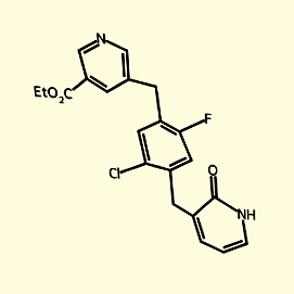 CCOC(=O)c1cncc(Cc2cc(Cl)c(Cc3ccc[nH]c3=O)cc2F)c1